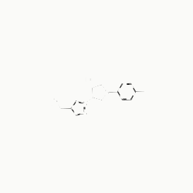 Cl.NCc1cnn(C2CCN(c3ccc(F)cc3)C2)c1